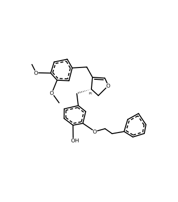 COc1ccc(CC2=COC[C@@H]2Cc2ccc(O)c(OCCc3ccccc3)c2)cc1OC